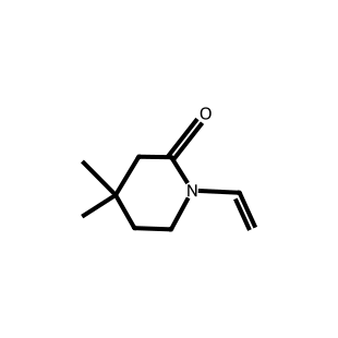 C=CN1CCC(C)(C)CC1=O